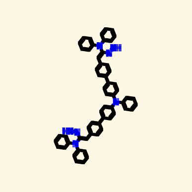 N=NC(=Cc1ccc(-c2ccc(N(c3ccccc3)c3ccc(-c4ccc(C=C(N=N)N(c5ccccc5)c5ccccc5)cc4)cc3)cc2)cc1)N(c1ccccc1)c1ccccc1